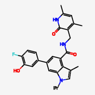 Cc1cc(C)c(CNC(=O)c2cc(-c3ccc(F)c(O)c3)cc3c2c(C)cn3C(C)C)c(=O)[nH]1